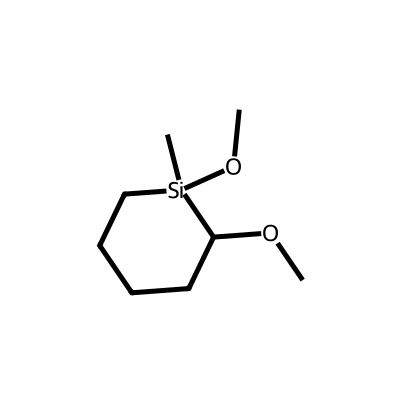 COC1CCCC[Si]1(C)OC